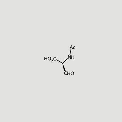 CC(=O)N[C@@H](C=O)C(=O)O